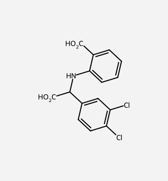 O=C(O)c1ccccc1NC(C(=O)O)c1ccc(Cl)c(Cl)c1